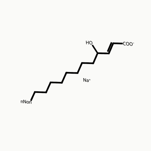 CCCCCCCCCCCCCCCCCC(O)C=CC(=O)[O-].[Na+]